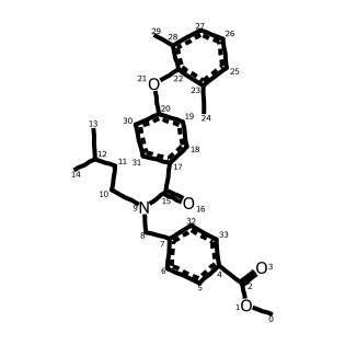 COC(=O)c1ccc(CN(CCC(C)C)C(=O)c2ccc(Oc3c(C)cccc3C)cc2)cc1